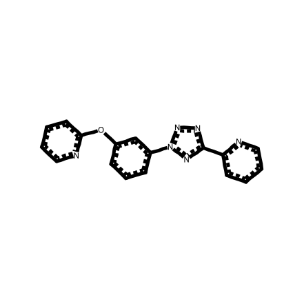 c1ccc(Oc2cccc(-n3nnc(-c4ccccn4)n3)c2)nc1